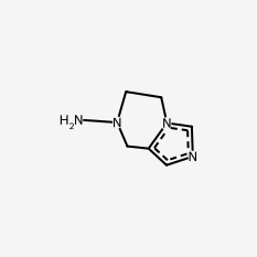 NN1CCn2cncc2C1